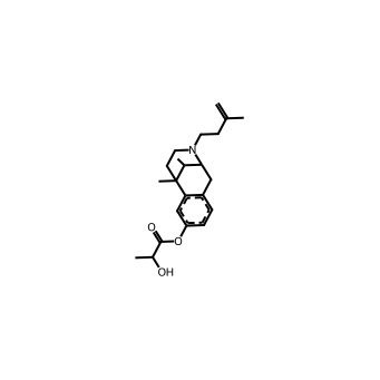 C=C(C)CCN1CCC2(C)c3cc(OC(=O)C(C)O)ccc3CC1C2C